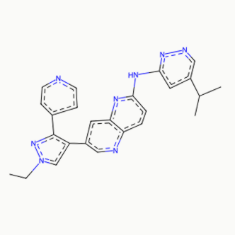 CCn1cc(-c2cnc3ccc(Nc4cc(C(C)C)cnn4)nc3c2)c(-c2ccncc2)n1